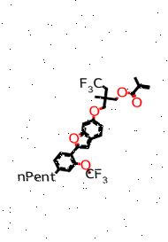 C=C(C)C(=O)OCC(C)(COc1ccc2cc(-c3ccc(CCCCC)cc3OC(F)(F)F)oc2c1)CC(F)(F)F